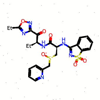 CCc1nc(C(=O)[C@H](CC)NC(=O)[C@H](C[S+]([O-])Cc2ccccn2)NC2=NS(=O)(=O)c3ccccc32)no1